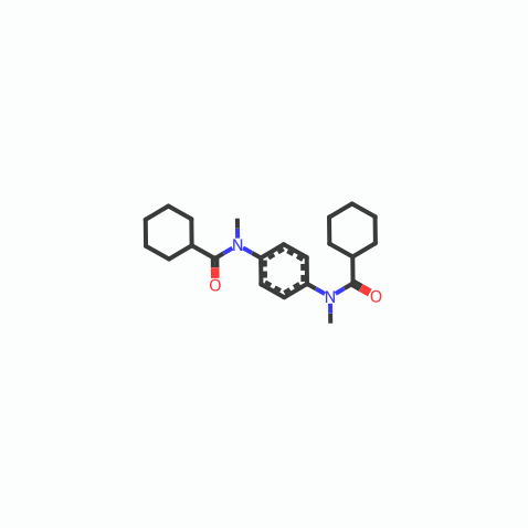 CN(C(=O)C1CCCCC1)c1ccc(N(C)C(=O)C2CCCCC2)cc1